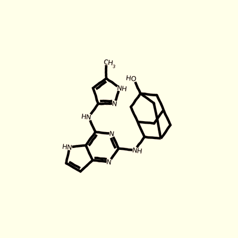 Cc1cc(Nc2nc(NC3C4CC5CC3CC(O)(C5)C4)nc3cc[nH]c23)n[nH]1